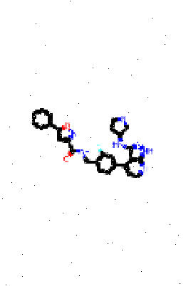 O=C(NCc1ccc(-c2ccnc3[nH]nc(NC4CCNC4)c23)cc1F)c1cc(-c2ccccc2)on1